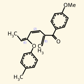 C\C=C(/C=C\C(=C/C)C(=O)c1ccc(OC)cc1)Oc1ccc(C)cc1